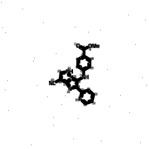 COC(=O)c1ccc(Nc2c(-c3ccccn3)nc3c(C#N)c[nH]n23)cc1